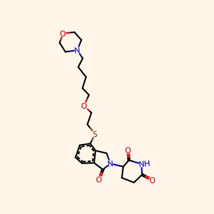 O=C1CCC(N2Cc3c(SCCOCCCCCN4CCOCC4)cccc3C2=O)C(=O)N1